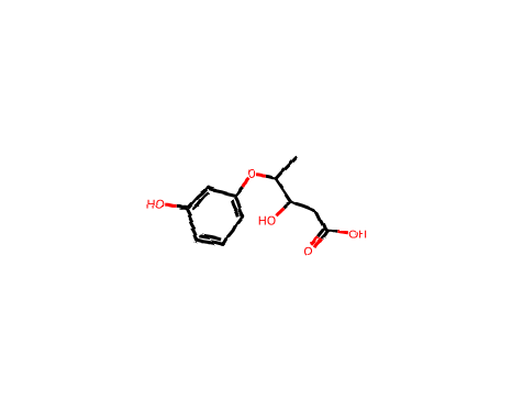 CC(Oc1cccc(O)c1)C(O)CC(=O)O